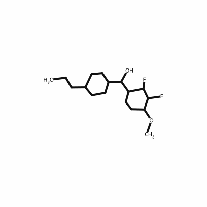 CCCC1CCC(C(O)C2CCC(OC)C(F)C2F)CC1